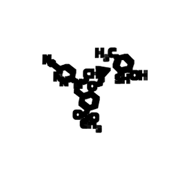 CCN(Cc1cc(S(C)(=O)=O)ccc1OCC1CC1)c1ccc(C#N)nn1.Cc1ccc(O)c(S)c1